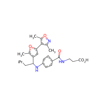 Cc1noc(C)c1-c1cc(C(CC(C)C)Nc2ccc(C(=O)NCCC(=O)O)cc2)c(C)o1